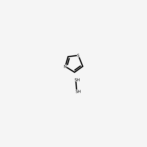 SS.c1cscn1